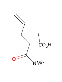 C=CCCC(=O)NC.CC(=O)O